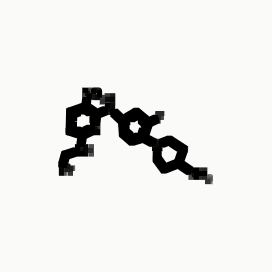 CC(C)CNc1ccc([N+](=O)[O-])c(Nc2ccc(N3CCC(N)CC3)c(F)c2)n1